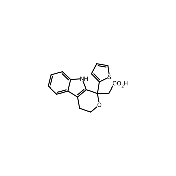 O=C(O)CC1(c2cccs2)OCCc2c1[nH]c1ccccc21